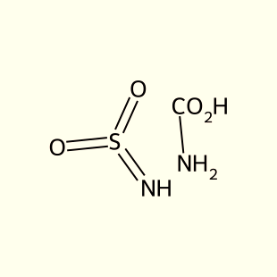 N=S(=O)=O.NC(=O)O